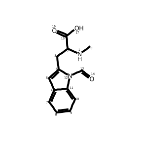 CNC(Cc1cc2ccccc2n1C=O)C(=O)O